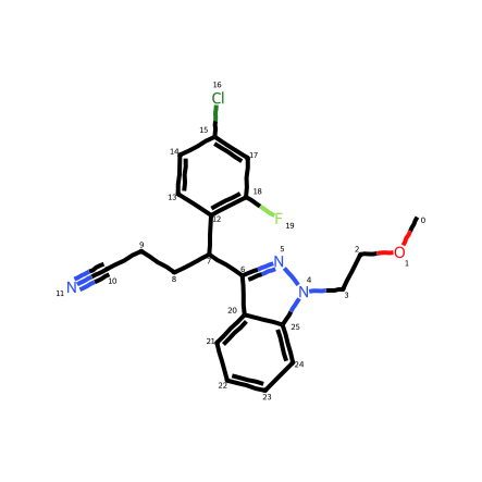 COCCn1nc(C(CCC#N)c2ccc(Cl)cc2F)c2ccccc21